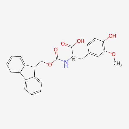 COc1cc(C[C@H](NC(=O)OCC2c3ccccc3-c3ccccc32)C(=O)O)ccc1O